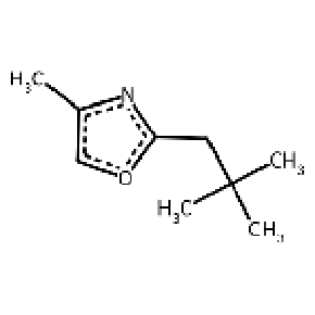 Cc1coc(CC(C)(C)C)n1